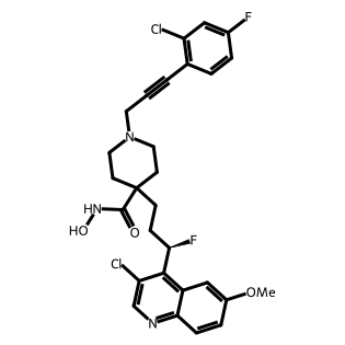 COc1ccc2ncc(Cl)c([C@H](F)CCC3(C(=O)NO)CCN(CC#Cc4ccc(F)cc4Cl)CC3)c2c1